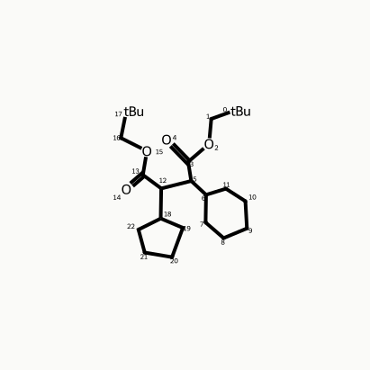 CC(C)(C)COC(=O)C(C1CCCCC1)C(C(=O)OCC(C)(C)C)C1CCCC1